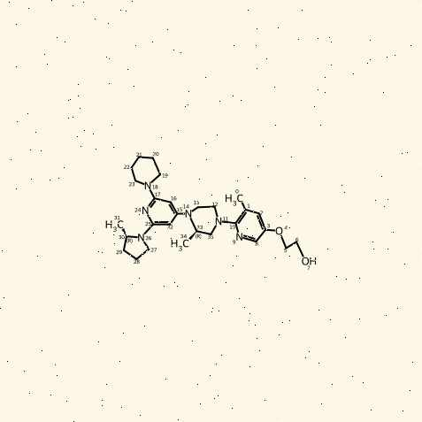 Cc1cc(OCCO)cnc1N1CCN(c2cc(N3CCCCC3)nc(N3CCC[C@H]3C)c2)[C@H](C)C1